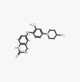 Cc1cc(N2CCC(C(F)(F)F)CC2)ccc1Nc1ccc2c(c1)CNC(=O)N2